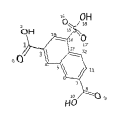 O=C(O)c1[c]c2cc(C(=O)O)ccc2c(S(=O)(=O)O)c1